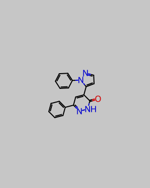 O=c1[nH]nc(-c2ccccc2)cc1-c1ccnn1-c1ccccc1